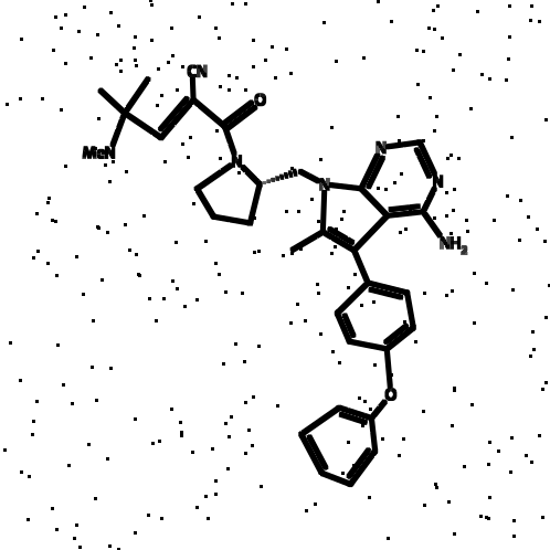 CNC(C)(C)C=C(C#N)C(=O)N1CCC[C@H]1Cn1c(C)c(-c2ccc(Oc3ccccc3)cc2)c2c(N)ncnc21